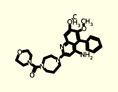 COc1cc2nc(N3CCCN(C(=O)N4CCOCC4)CC3)cc(N)c2c(-c2ccccc2)c1OC